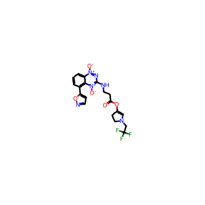 O=C(CCNc1n[n+]([O-])c2cccc(-c3ccno3)c2[n+]1[O-])OC1=CN(CC(F)(F)F)CC1